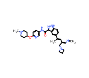 C=N/C=C(\C=C(/C)c1ccc2[nH]nc(C(=O)Nc3ccc(OC4CCN(C)CC4)nc3)c2c1)CN1CCC1